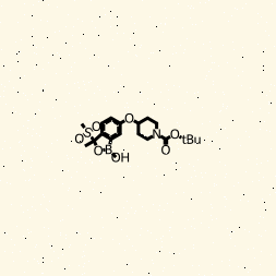 CC(C)(C)OC(=O)N1CCC(Oc2ccc3c(c2)B(O)OC3(C)S(C)(=O)=O)CC1